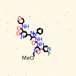 COCCN1C[C@@H](NC(=O)Nc2c(C)c(-c3cc(C(=O)NC4CCOCC4)c(=O)n(C)c3)nn2-c2ccccc2)[C@H](c2ccnc(F)c2)O1